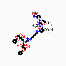 CC#CCn1c(N2CCC[C@@H](NC(=O)OC(C)(C)C)C2)nc2c1c(=O)n(Cc1nc(NCCCCCCCn3cc(CN(C[C@H](O)[C@@H](O)[C@@H]4OC(c5ccccc5)OC[C@H]4O)C[C@H](O)[C@@H](O)[C@@H]4OC(c5ccccc5)OC[C@H]4O)nn3)ccc1C(=O)O)c(=O)n2C